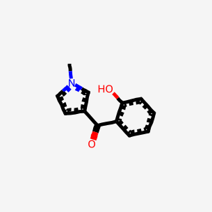 Cn1ccc(C(=O)c2ccccc2O)c1